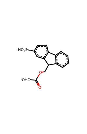 O=[C]C(=O)OCC1c2ccccc2-c2ccc(S(=O)(=O)O)cc21